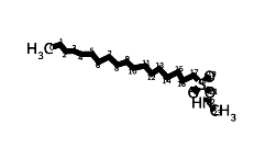 CCCCCCCCCCCCCCCCCCS(=O)(=O)ONC